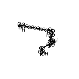 COc1cc2c(cc1OCCCCCOc1cc3c(cc1OC)C(=O)C1C=C(C)C[C@H]1[C@H](O)N3C(=O)OCc1ccc(NC(=O)[C@H](C)NC(=O)[C@@H](NC(=O)CCOCCOCCOCCOCCOCCOCCOCCOCCNC(=O)CCN3C(=O)C=CC3=O)C(C)C)cc1)N=C[C@]1(O)CC(C)=CN1C2=O